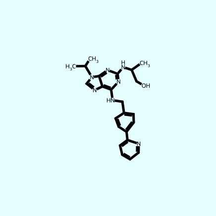 CC(CO)Nc1nc(NCc2ccc(-c3ccccn3)cc2)c2ncn(C(C)C)c2n1